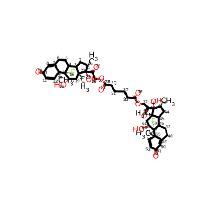 C[C@@H]1CC2C3CCC4=CC(=O)C=C[C@]4(C)[C@@]3(F)[C@@H](O)C[C@]2(C)[C@@]1(O)C(=O)COC(=O)CCCCC(=O)OCC(=O)[C@@]1(O)[C@H](C)CC2C3CCC4=CC(=O)C=C[C@]4(C)[C@@]3(F)[C@@H](O)C[C@@]21C